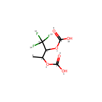 CC(OC(=O)O)C(OC(=O)O)C(F)(F)F